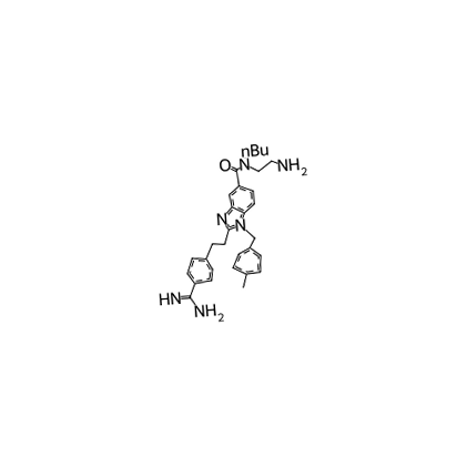 CCCCN(CCN)C(=O)c1ccc2c(c1)nc(CCc1ccc(C(=N)N)cc1)n2Cc1ccc(C)cc1